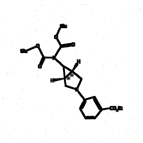 CCOC(=O)c1cccc(N2C[C@@H]3C(N(C(=O)OC(C)(C)C)C(=O)OC(C)(C)C)[C@@H]3C2)c1